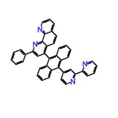 c1ccc(-c2cc(-c3c4ccccc4c(-c4ccnc(-c5ccccn5)c4)c4ccccc34)c3ccc4cccnc4c3n2)cc1